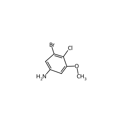 COc1cc(N)cc(Br)c1Cl